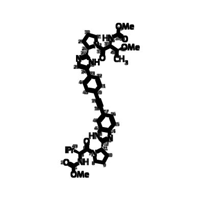 COC(=O)N[C@H](C(=O)N1CCC[C@H]1c1nc2ccc(C#Cc3ccc(-c4cnc([C@@H]5CCCN5C(=O)[C@@H](NC(=O)OC)[C@@H](C)OC)[nH]4)cc3)cc2[nH]1)C(C)C